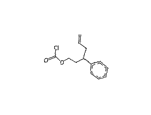 C=CCC(CCOC(=O)Cl)c1ccccc1